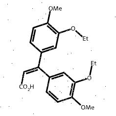 CCOc1cc(C(=CC(=O)O)c2ccc(OC)c(OCC)c2)ccc1OC